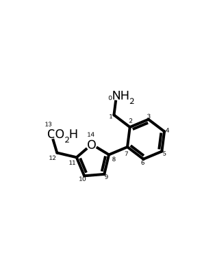 NCc1ccccc1-c1ccc(CC(=O)O)o1